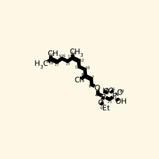 CCOP(=O)(COCC=C(Cl)CCC=C(C)CCC=C(C)C)CP(=O)(O)O